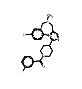 CN1Cc2cc(Cl)ccc2-n2c(nnc2C2CCN(C(=O)c3cccc(F)c3)CC2)C1